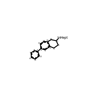 CCCCCCCC1CCc2cc(-c3ccccc3)ccc2C1